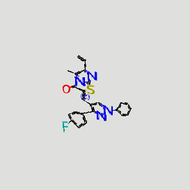 C=Cc1nc2s/c(=C\c3cn(-c4ccccc4)nc3-c3ccc(F)cc3)c(=O)n2c1C